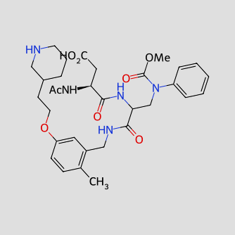 COC(=O)N(CC(NC(=O)[C@H](CC(=O)O)NC(C)=O)C(=O)NCc1cc(OCCC2CCCNC2)ccc1C)c1ccccc1